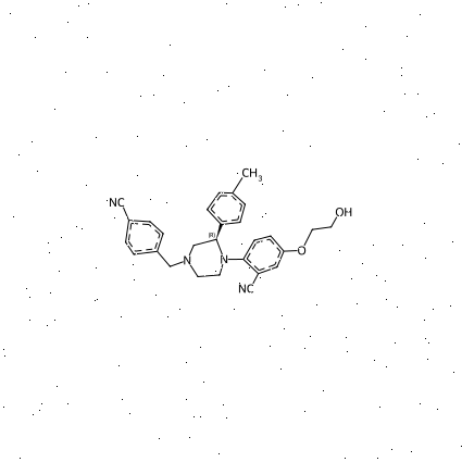 Cc1ccc([C@@H]2CN(Cc3ccc(C#N)cc3)CCN2c2ccc(OCCO)cc2C#N)cc1